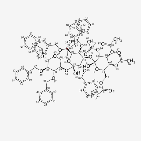 CC(=O)OC[C@H]1O[C@](O)(O[C@@H]2[C@H](OC(=O)c3ccccc3)[C@H](COCc3ccccc3)O[C@@](O)(O[C@H]3[C@H](OCc4ccccc4)[C@@H](OCc4ccccc4)[C@H](OCc4ccccc4)O[C@@H]3COCc3ccccc3)[C@H]2OCc2ccccc2)[C@H](OC(C)=O)[C@@H](OC(C)=O)[C@H]1OC(C)=O